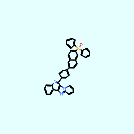 O=P(c1ccccc1)(c1ccccc1)c1ccc2cc(-c3ccc(-c4nc5ccccc5c5nc6ccccn6c45)cc3)ccc2c1